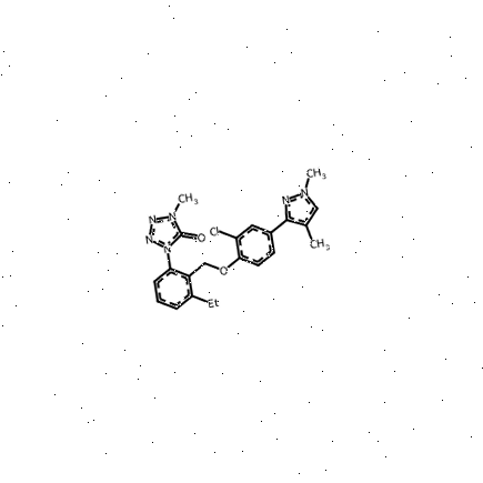 CCc1cccc(-n2nnn(C)c2=O)c1COc1ccc(-c2nn(C)cc2C)cc1Cl